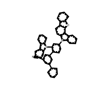 N#Cc1cc(-c2ccccc2)cc(-c2ccc(-n3c4ccccc4c4c5oc6ccccc6c5ccc43)cc2-n2c3ccccc3c3ccccc32)c1